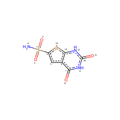 NS(=O)(=O)c1cc2c(=O)[nH]c(=O)[nH]c2s1